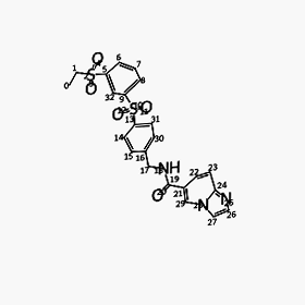 CCS(=O)(=O)c1cccc(S(=O)(=O)c2ccc(CNC(=O)c3ccc4nccn4c3)cc2)c1